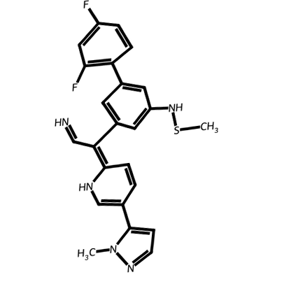 CSNc1cc(/C(C=N)=C2\C=CC(c3ccnn3C)=CN2)cc(-c2ccc(F)cc2F)c1